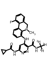 [2H]C([2H])([2H])NC(=O)c1nnc(NC(=O)C2CC2)cc1Nc1cccc2c1N(C)Cc1cccc(F)c1-2